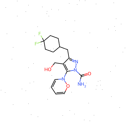 NC(=O)n1nc(CC2CCC(F)(F)CC2)c(CO)c1N1C=CC=CO1